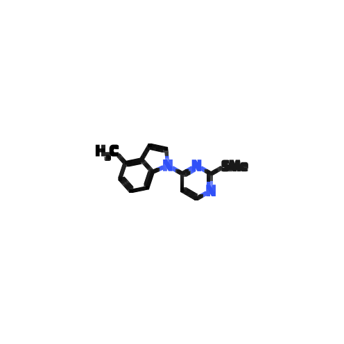 CSc1nccc(-n2ccc3c(C)cccc32)n1